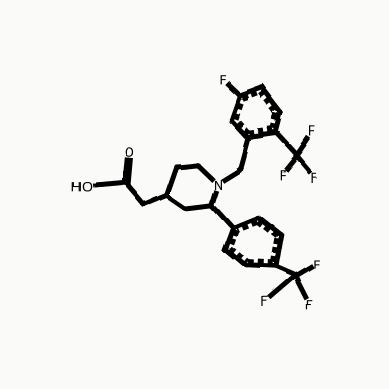 O=C(O)CC1CCN(Cc2cc(F)ccc2C(F)(F)F)C(c2ccc(C(F)(F)F)cc2)C1